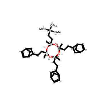 CO[Si](CC[Si]1(C)O[Si](C)(CCC2CC3C=CC2C3)O[Si](C)(CCC2CC3C=CC2C3)O[Si](C)(CCC2CC3C=CC2C3)O1)(OC)OC